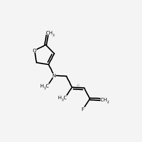 C=C(F)/C=C(\C)CN(C)C1=CC(=C)OC1